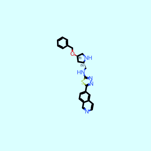 c1ccc(CO[C@H]2CN[C@H](CNc3nnc(-c4ccc5cnccc5c4)s3)C2)cc1